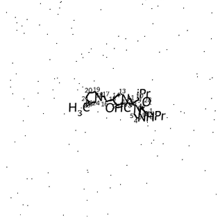 CC(C)C[C@@H]1NCCN([C@](C=O)(CC(C)C)CN2CCC(CCN3CCC[C@H](C)C3)CC2)C1=O